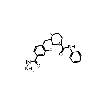 NNC(=O)c1ccc(CC2CN(C(=O)Nc3ccccc3)CCS2)c(F)c1